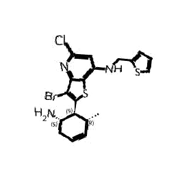 C[C@@H]1C=CC[C@H](N)[C@H]1c1sc2c(NCc3cccs3)cc(Cl)nc2c1Br